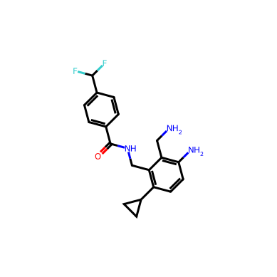 NCc1c(N)ccc(C2CC2)c1CNC(=O)c1ccc(C(F)F)cc1